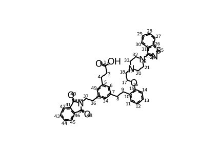 O=C(O)CCc1cc(CCc2ccccc2OCCN2CCN(c3nsc4ccccc34)CC2)cc(CCN2C(=O)c3ccccc3C2=O)c1